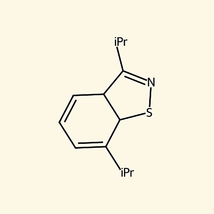 CC(C)C1=CC=CC2C(C(C)C)=NSC12